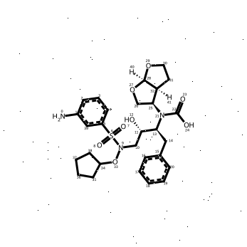 Nc1cccc(S(=O)(=O)N(C[C@H](O)[C@H](Cc2ccccc2)N(C(=O)O)[C@H]2CO[C@H]3OCC[C@H]32)OC2CCCC2)c1